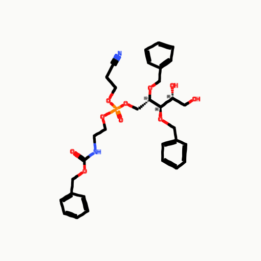 N#CCCOP(=O)(OCCNC(=O)OCc1ccccc1)OC[C@H](OCc1ccccc1)[C@H](OCc1ccccc1)[C@H](O)CO